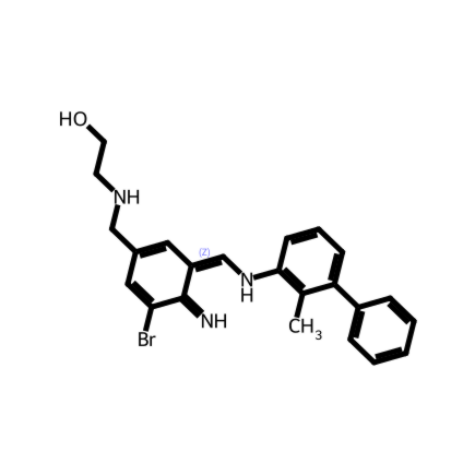 Cc1c(N/C=C2/C=C(CNCCO)C=C(Br)C2=N)cccc1-c1ccccc1